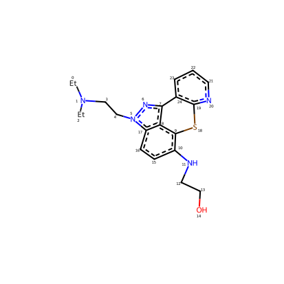 CCN(CC)CCn1nc2c3c(c(NCCO)ccc31)Sc1ncccc1-2